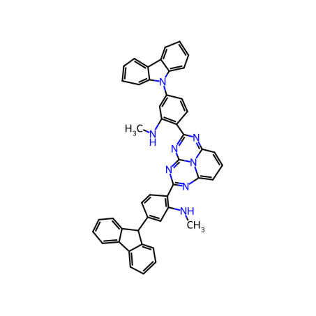 CNc1cc(C2c3ccccc3-c3ccccc32)ccc1C1=NC2=CC=CC3=NC(c4ccc(-n5c6ccccc6c6ccccc65)cc4NC)=NC(=N1)N23